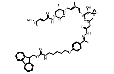 CC(=O)O[C@@H](C)C=CC(=O)N[C@@H]1C[C@H](C)[C@H](CC=C(C)C=C[C@H]2O[C@H](CC(=O)NN=C(C)c3ccc(OCCCCCNC(=O)OCC4c5ccccc5-c5ccccc54)cc3)C[C@@]3(CO3)[C@@H]2O)O[C@@H]1C